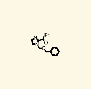 CC(C)C(=O)c1nccn1COCc1ccccc1